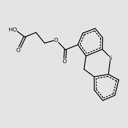 O=C(O)CCOC(=O)c1cccc2c1Cc1ccccc1S2